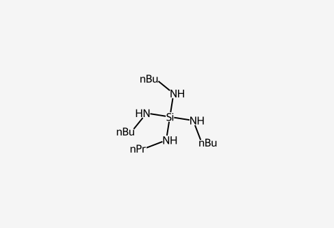 CCCCN[Si](NCCC)(NCCCC)NCCCC